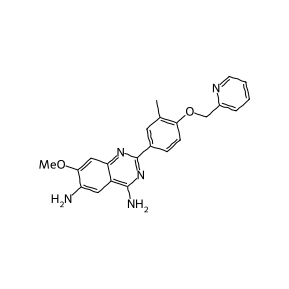 COc1cc2nc(-c3ccc(OCc4ccccn4)c(C)c3)nc(N)c2cc1N